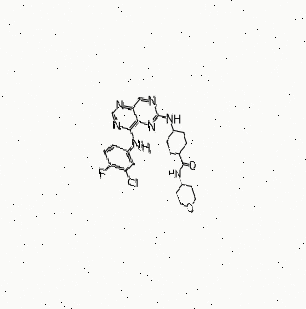 O=C(NC1CCOCC1)C1CCC(Nc2ncc3ncnc(Nc4ccc(F)c(Cl)c4)c3n2)CC1